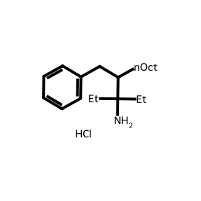 CCCCCCCCC(Cc1ccccc1)C(N)(CC)CC.Cl